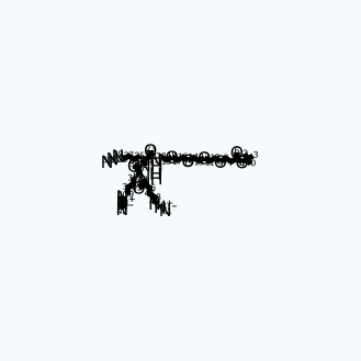 CC(C)(C)OC(=O)CCOCCOCCOCCOCCNC(=O)[C@H](CCCCN=[N+]=[N-])NC(=O)[C@H](CCCCN=[N+]=[N-])NC(=O)CCCN=[N+]=[N-]